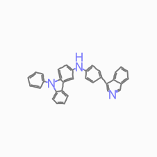 c1ccc(-n2c3ccccc3c3cc(Nc4ccc(-c5cncc6ccccc56)cc4)ccc32)cc1